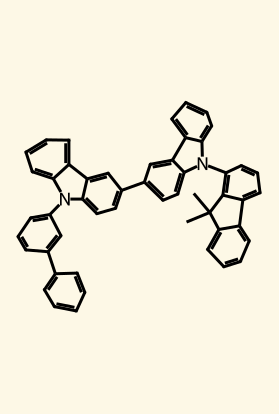 CC1(C)c2ccccc2-c2cccc(-n3c4ccccc4c4cc(-c5ccc6c(c5)c5ccccc5n6-c5cccc(-c6ccccc6)c5)ccc43)c21